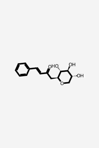 O=C(/C=C/c1ccccc1)C[C@@H]1OC[C@@H](O)[C@H](O)[C@H]1O